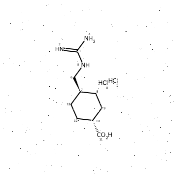 Cl.Cl.N=C(N)NC[C@H]1CC[C@H](C(=O)O)CC1